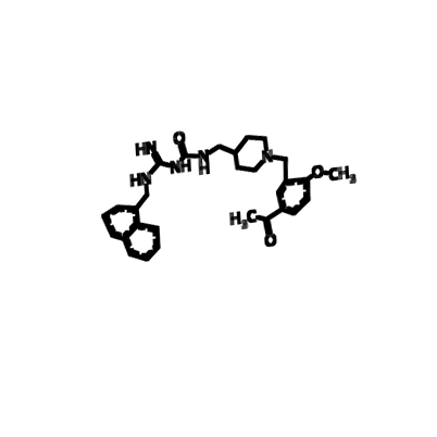 COc1ccc(C(C)=O)cc1CN1CCC(CNC(=O)NC(=N)NCc2cccc3ccccc23)CC1